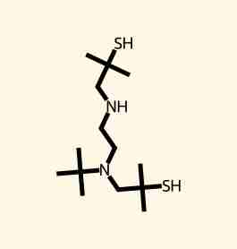 CC(C)(S)CNCCN(CC(C)(C)S)C(C)(C)C